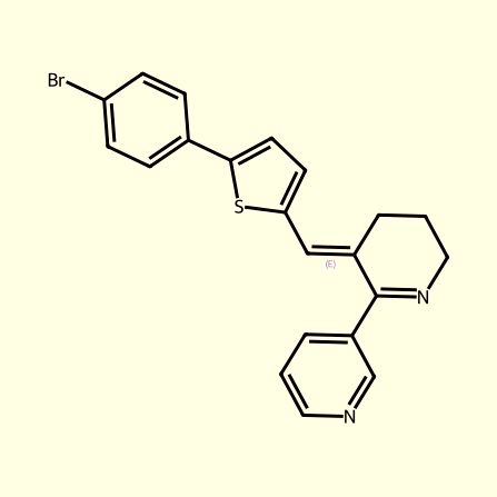 Brc1ccc(-c2ccc(/C=C3\CCCN=C3c3cccnc3)s2)cc1